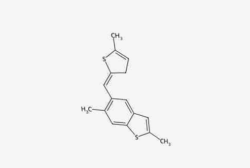 CC1=CC/C(=C\c2cc3cc(C)sc3cc2C)S1